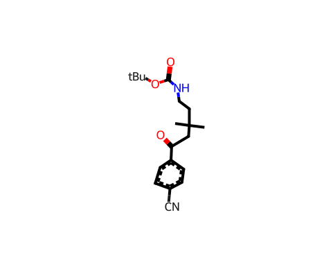 CC(C)(CCNC(=O)OC(C)(C)C)CC(=O)c1ccc(C#N)cc1